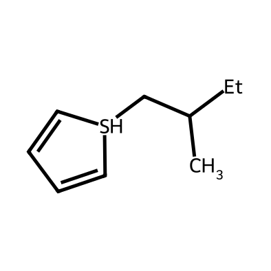 CCC(C)C[SH]1C=CC=C1